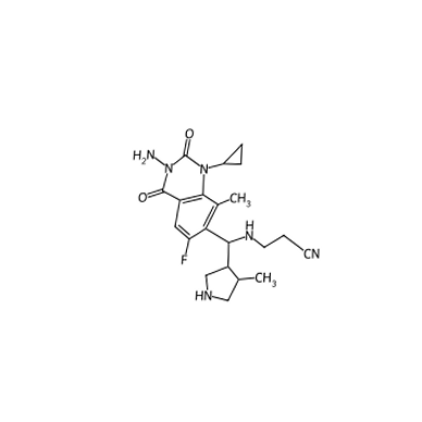 Cc1c(C(NCCC#N)C2CNCC2C)c(F)cc2c(=O)n(N)c(=O)n(C3CC3)c12